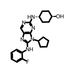 O[C@H]1CC[C@H](Nc2ncc3nc(Nc4ccccc4F)n(C4CCCC4)c3n2)CC1